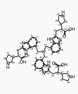 O=C(O)C(Cc1nc2cccc(CN(Cc3cccc4nc(CC(C(=O)O)C5CCNC5)[nH]c34)Cc3cccc4nc(CC(C(=O)O)C5CCNC5)[nH]c34)c2[nH]1)C1CCNC1